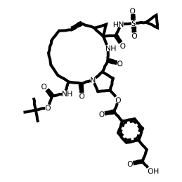 CC(C)(C)OC(=O)NC1CCCCC/C=C/C2CC2(C(=O)NS(=O)(=O)C2CC2)NC(=O)C2CC(OC(=O)c3ccc(CC(=O)O)cc3)CN2C1=O